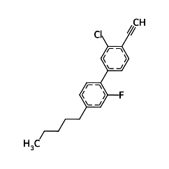 C#Cc1ccc(-c2ccc(CCCCC)cc2F)cc1Cl